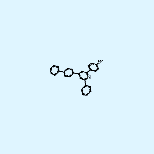 Brc1ccc(-c2cc(-c3ccc(-c4ccccc4)cc3)cc(-c3ccccc3)n2)cc1